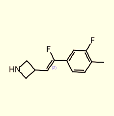 Cc1ccc(/C(F)=C/C2CNC2)cc1F